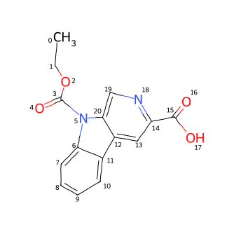 CCOC(=O)n1c2ccccc2c2cc(C(=O)O)ncc21